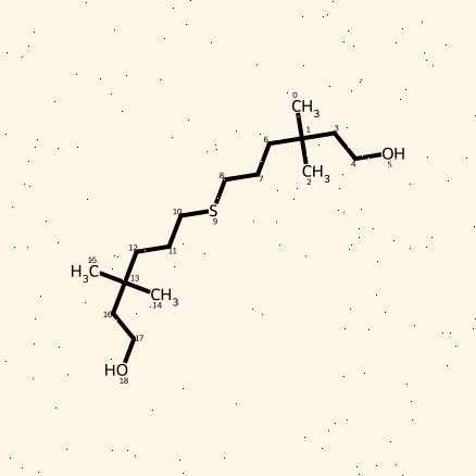 CC(C)(CCO)CCCSCCCC(C)(C)CCO